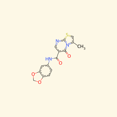 Cc1csc2ncc(C(=O)Nc3ccc4c(c3)OCO4)c(=O)n12